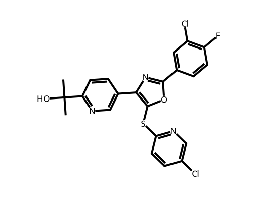 CC(C)(O)c1ccc(-c2nc(-c3ccc(F)c(Cl)c3)oc2Sc2ccc(Cl)cn2)cn1